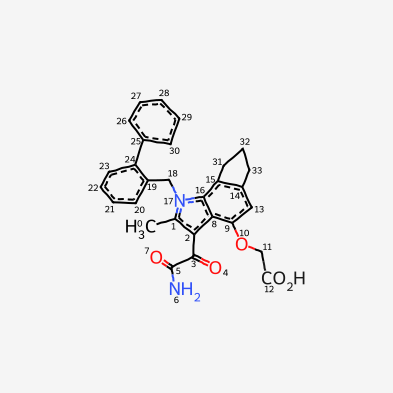 Cc1c(C(=O)C(N)=O)c2c(OCC(=O)O)cc3c(c2n1Cc1ccccc1-c1ccccc1)CCC3